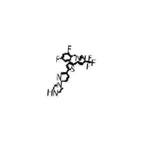 Fc1ccc(Cn2nc(C(F)(F)F)cc2-c2ccc(-c3ccc(N4CCNCC4)nc3)s2)c(F)c1